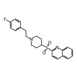 O=S(=O)(c1ccc2ccccc2n1)C1CCN(CCc2ccc(F)cc2)CC1